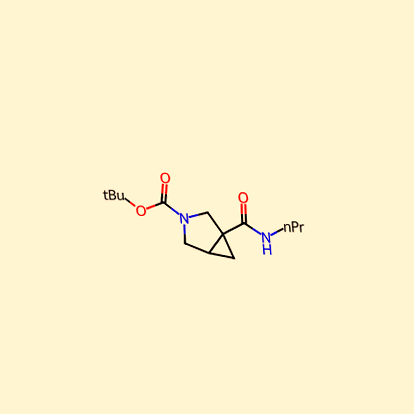 CCCNC(=O)C12CC1CN(C(=O)OC(C)(C)C)C2